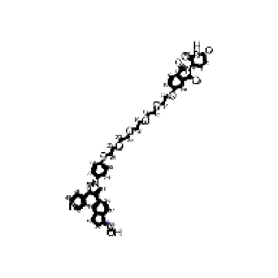 O=C1CCC(N2C(=O)c3ccc(OCCOCCOCCOCCOCCOc4ccc(-n5cc(-c6ccc7c(c6)CC/C7=N\O)c(-c6ccncc6)n5)cc4)cc3C2=O)C(=O)N1